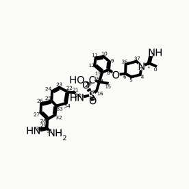 CC(=N)N1CCC(Oc2ccccc2C(C)(CS(=O)(=O)NCc2ccc3ccc(C(=N)N)cc3c2)C(=O)O)CC1